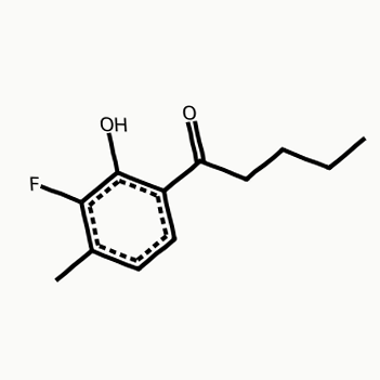 CCCCC(=O)c1ccc(C)c(F)c1O